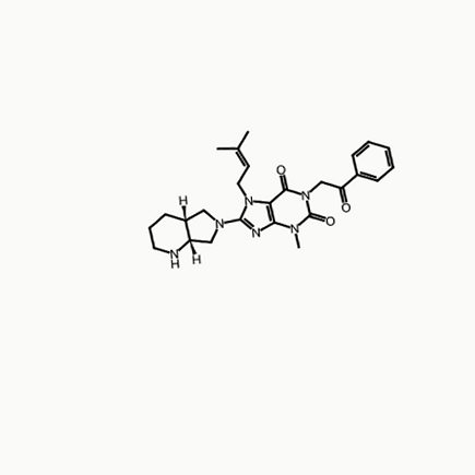 CC(C)=CCn1c(N2C[C@H]3CCCN[C@H]3C2)nc2c1c(=O)n(CC(=O)c1ccccc1)c(=O)n2C